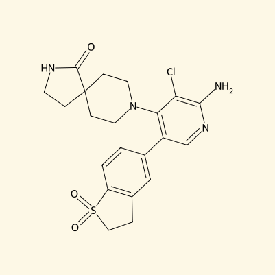 Nc1ncc(-c2ccc3c(c2)CCS3(=O)=O)c(N2CCC3(CCNC3=O)CC2)c1Cl